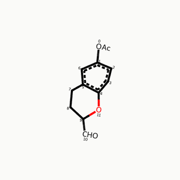 CC(=O)Oc1ccc2c(c1)CCC(C=O)O2